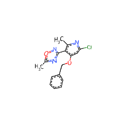 Cc1nc(-c2c(OCc3ccccc3)cc(Cl)nc2C)no1